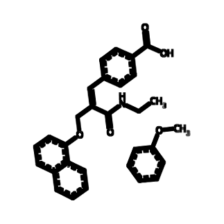 CCNC(=O)C(=Cc1ccc(C(=O)O)cc1)COc1cccc2ccccc12.COc1ccccc1